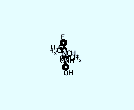 CC(C)[C@@H](NC(=O)c1ccc(O)cc1)C(=O)N1CCC(c2ccc(F)cc2)C(C)(C)C1